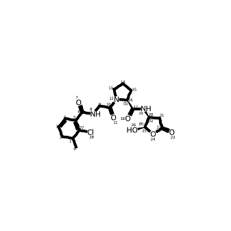 CC1CC=CC(C(=O)NCC(=O)N2CCC[C@H]2C(=O)N[C@H]2CC(=O)O[C@H]2O)=C1Cl